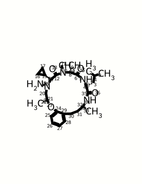 CC(C)C[C@H]1NC(=O)[C@@H](C)N(C)C(=O)[C@H](C2CC2)N(N)C[C@@H](C)Oc2ccccc2CC[C@H](C)NC1=O